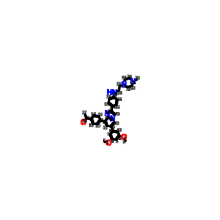 COc1cc(OC)cc(-c2cc(-c3ccc(C(C)=O)cc3)c3nc(-c4ccc(NCCN5CCN(C)CC5)cc4)cn3c2)c1